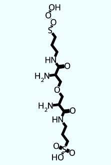 NC(COCC(N)C(=O)NCCCS(=O)(=O)O)C(=O)NCCCSOOO